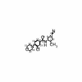 C[C@@H]1CN(C#N)C[C@H]1NC(=O)c1ccc(N2CCOCC2)c(Cl)c1